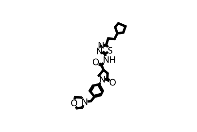 O=C(Nc1nnc(CCC2CCCC2)s1)C1CC(=O)N(c2ccc(CN3CCOCC3)cc2)C1